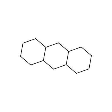 [CH]1CCC2CC3C[CH]CCC3CC2C1